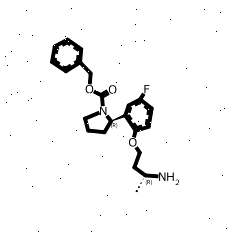 C[C@@H](N)CCOc1ccc(F)cc1[C@H]1CCCN1C(=O)OCc1ccccc1